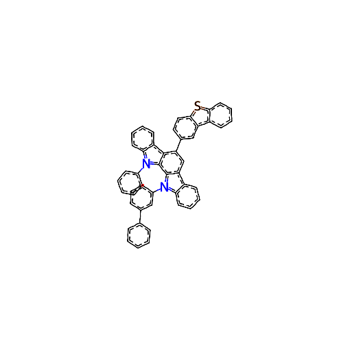 c1ccc(-c2cccc(-n3c4ccccc4c4cc(-c5ccc6sc7ccccc7c6c5)c5c6ccccc6n(-c6ccccc6)c5c43)c2)cc1